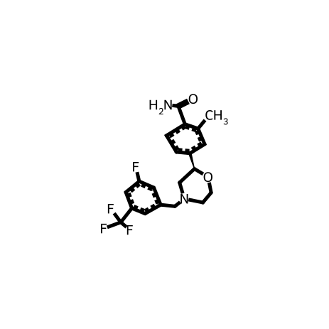 Cc1cc([C@@H]2CN(Cc3cc(F)cc(C(F)(F)F)c3)CCO2)ccc1C(N)=O